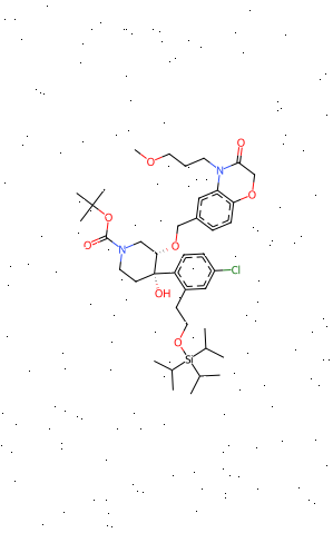 COCCCN1C(=O)COc2ccc(CO[C@H]3CN(C(=O)OC(C)(C)C)CC[C@]3(O)c3ccc(Cl)cc3CCO[Si](C(C)C)(C(C)C)C(C)C)cc21